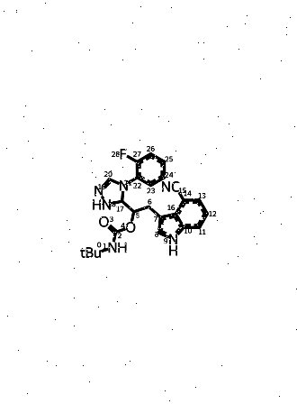 CC(C)(C)NC(=O)OC(Cc1c[nH]c2cccc(C#N)c12)C1NN=CN1c1ccccc1F